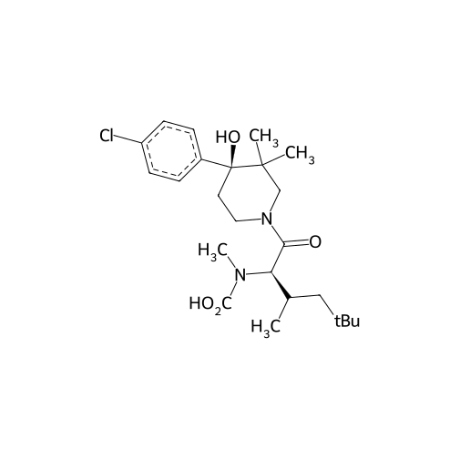 CC(CC(C)(C)C)[C@H](C(=O)N1CC[C@](O)(c2ccc(Cl)cc2)C(C)(C)C1)N(C)C(=O)O